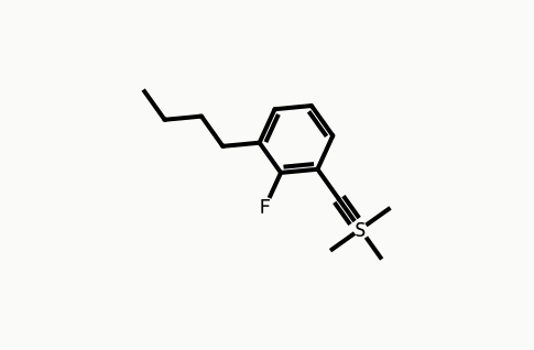 CCCCc1cccc(C#S(C)(C)C)c1F